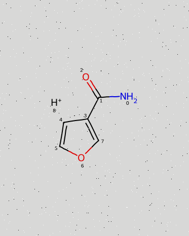 NC(=O)c1ccoc1.[H+]